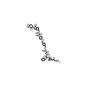 NCC(=O)NCC(=O)N[C@@H](Cc1ccccc1)C(=O)NCC(=O)NCOCc1ccc(COc2ccc(NC(=O)NCc3ccc4c(c3)CN(C3CCC(=O)NC3=O)C4=O)cc2)cc1